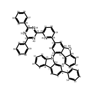 c1ccc(-c2ccc3c4ccccc4n(-c4cc(-c5cccc(-c6nc(-c7ccccc7)nc(-c7ccccc7)n6)n5)cc5oc6ccccc6c45)c3c2)cc1